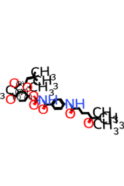 CO[C@H]1[C@H](C2(C)O[C@@H]2CC=C(C)C)[C@]2(CC[C@H]1OC(=O)NC(=O)c1ccc(NC(=O)CCCC(=O)C(C)(C)C)cc1)CO2